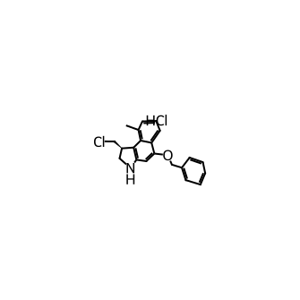 Cc1cccc2c(OCc3ccccc3)cc3c(c12)[C@H](CCl)CN3.Cl